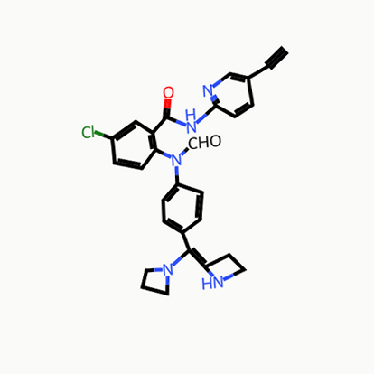 C#Cc1ccc(NC(=O)c2cc(Cl)ccc2N(C=O)c2ccc(C(=C3CCN3)N3CCC3)cc2)nc1